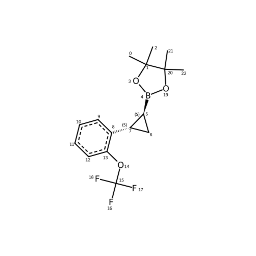 CC1(C)OB([C@H]2C[C@@H]2c2ccccc2OC(F)(F)F)OC1(C)C